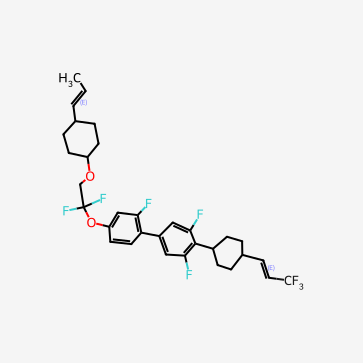 C/C=C/C1CCC(OCC(F)(F)Oc2ccc(-c3cc(F)c(C4CCC(/C=C/C(F)(F)F)CC4)c(F)c3)c(F)c2)CC1